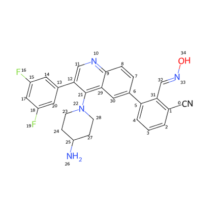 N#Cc1cccc(-c2ccc3ncc(-c4cc(F)cc(F)c4)c(N4CCC(N)CC4)c3c2)c1C=NO